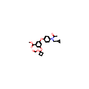 COC(=O)c1cc(Oc2ccc(N(CC3CC3)C(C)=O)cc2)cc(OC2(OC=O)CCC2)c1